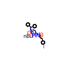 CCCC[C@@H]1N[C@H](CNC(=O)/C=C/c2ccc(I)cc2)CCN(CC(c2ccccc2)c2ccccc2)C1=O